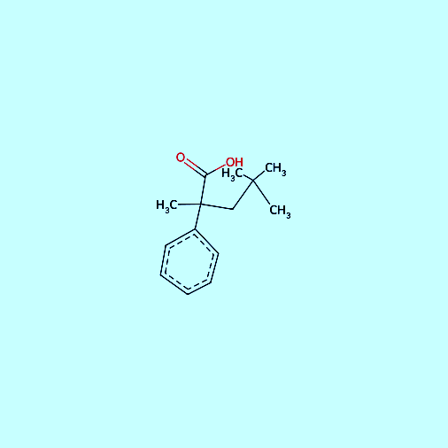 CC(C)(C)CC(C)(C(=O)O)c1ccccc1